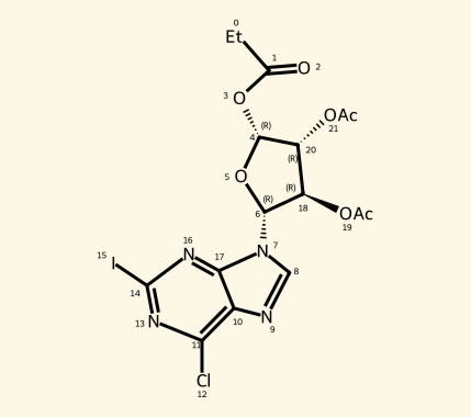 CCC(=O)O[C@H]1O[C@@H](n2cnc3c(Cl)nc(I)nc32)[C@H](OC(C)=O)[C@H]1OC(C)=O